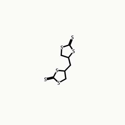 S=C1SCC(CC2CSC(=S)S2)S1